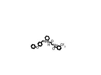 O=C(CNC(=O)c1cccc(C(F)(F)F)c1)NC1CCCCC1NCc1ccc(Oc2ccccc2)cc1